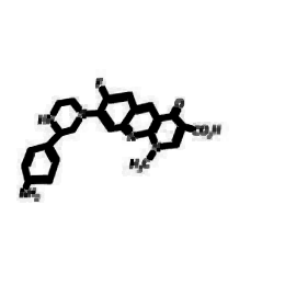 Cn1cc(C(=O)O)c(=O)c2cc3cc(F)c(N4CCNC(c5ccc(N)cc5)C4)cc3nc21